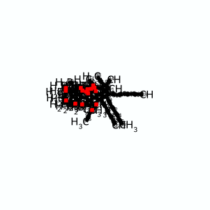 BBB(B)B(B(B)B)c1c(B(B(B)B)B(B)B)c(B(BB)B(B)B)c(B(B)B(B)B)c2c(B(B)BB)c(-c3c4c(C)c(C)c(C)c(C)c4c(-c4c(C#CC#CC#CC)c(C#CC#CC#CC#C)c5c(C#CC#CC#CC#CC)c(C#CC#CC#CC#CC#C)c6c(C)c(C#C)c(C#CC)c(C#CC#C)c6c5c4C#CC#CC)c4c(C)c(C)c(C)c(C)c34)c(BB)c(B)c12